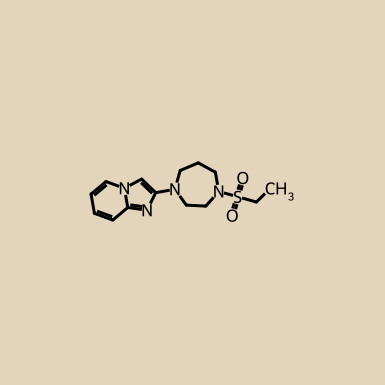 CCS(=O)(=O)N1CCCN(c2cn3ccccc3n2)CC1